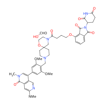 CNc1cc2c(=O)n(C)cc(-c3cc(OC)c(CN4CCC5(CC4)CN(C(=O)CCCOc4cccc6c4C(=O)N(C4CCC(=O)NC4=O)C6=O)CCO5)c(OC)c3)c2cn1.O=CO